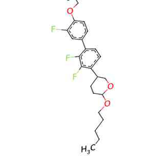 CCCCCOC1CCC(c2ccc(-c3ccc(OCC)c(F)c3)c(F)c2F)CO1